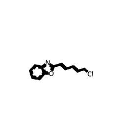 ClCC=CC=Cc1nc2ccccc2o1